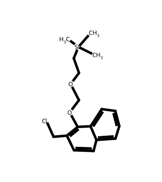 C[Si](C)(C)CCOCOc1c(CCl)ccc2ccccc12